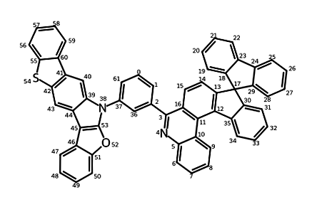 c1cc(-c2nc3ccccc3c3c4c(ccc23)C2(c3ccccc3-c3ccccc32)c2ccccc2-4)cc(-n2c3cc4c(cc3c3c5ccccc5oc32)sc2ccccc24)c1